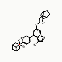 CCC(=O)N1C2CC1CN(C1=CC=C(c3cc(OCCN4C5CCC4C(O)C5)cn4ncc(C#N)c34)CN1)C2